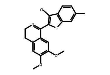 COc1cc2c(cc1OC)C(c1sc3cc(C)ccc3c1Cl)=NCC2